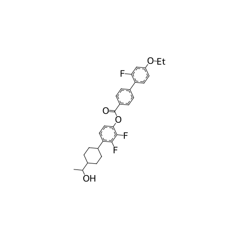 CCOc1ccc(-c2ccc(C(=O)Oc3ccc(C4CCC(C(C)O)CC4)c(F)c3F)cc2)c(F)c1